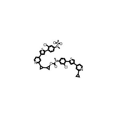 CN(C(=O)OC1CC1C1CC1c1cc(-c2csc(-c3ccc(N(C)S(C)(=O)=O)cc3Cl)c2)ccn1)c1ccc(-c2cc(-c3ccnc(C4CC4)c3)cs2)c(Cl)c1